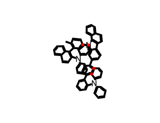 Cc1ccc(-n2c3cc(-c4ccc(-c5ccccc5N(c5ccccc5)c5ccccc5)cc4)ccc3c3ccc4ccccc4c32)cc1-c1c(N(c2ccccc2)c2ccccc2)ccc2ccccc12